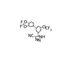 N#Cc1nn[nH]c1-c1cc(OC(F)(F)F)cc(-c2ccc3c(c2)OC(F)(F)O3)c1